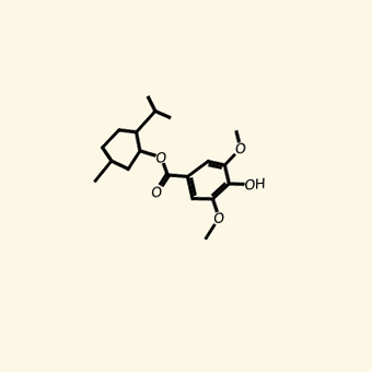 COc1cc(C(=O)OC2CC(C)CCC2C(C)C)cc(OC)c1O